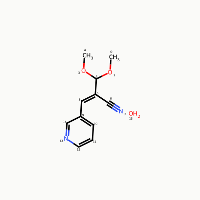 COC(OC)/C(C#N)=C/c1cccnc1.O